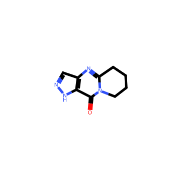 O=c1c2[nH]ncc2nc2n1CCCC2